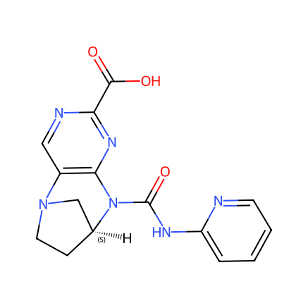 O=C(O)c1ncc2c(n1)N(C(=O)Nc1ccccn1)[C@H]1CCN2C1